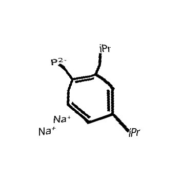 CC(C)c1ccc([P-2])c(C(C)C)c1.[Na+].[Na+]